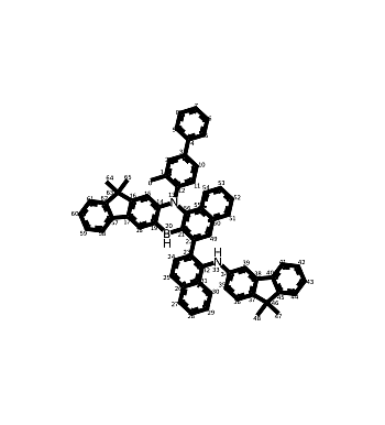 Cc1cc(-c2ccccc2)ccc1N1c2cc3c(cc2Bc2c(-c4ccc5ccccc5c4Nc4ccc5c(c4)-c4ccccc4C5(C)C)cc4ccccc4c21)-c1ccccc1C3(C)C